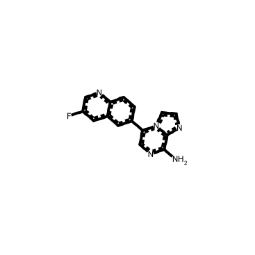 Nc1ncc(-c2ccc3ncc(F)cc3c2)n2ccnc12